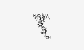 CC1(C)CCC(C)(C)c2cc(-c3cccc(N4CCN(CC(O)CCO)CC4)n3)ccc21